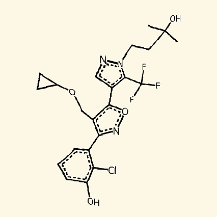 CC(C)(O)CCn1ncc(-c2onc(-c3cccc(O)c3Cl)c2COC2CC2)c1C(F)(F)F